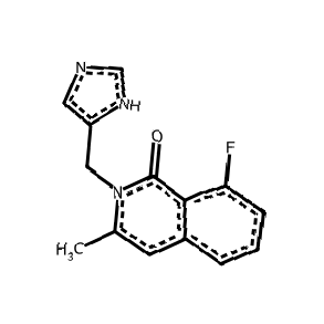 Cc1cc2cccc(F)c2c(=O)n1Cc1cnc[nH]1